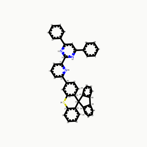 c1ccc(-c2cc(-c3ccccc3)nc(-c3cccc(-c4ccc5c(c4)Sc4ccccc4C54c5ccccc5-c5ccccc54)n3)n2)cc1